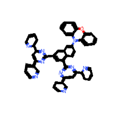 c1ccc(-c2cc(-c3cccnc3)nc(-c3cc(-c4nc(-c5cccnc5)cc(-c5ccccn5)n4)c4ccc(N5c6ccccc6Oc6ccccc65)cc4c3)n2)nc1